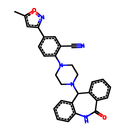 Cc1cc(-c2ccc(N3CCN(C4c5ccccc5NC(=O)c5ccccc54)CC3)c(C#N)c2)no1